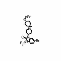 CCCOC1CCC(C)(N2CCC(n3c(=O)n(C(F)(F)F)c4ccc(Br)cc43)CC2)CC1